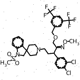 CO/N=C(\COCc1cc(C(F)(F)F)cc(C(F)(F)F)c1)C(CCN1CCC2(CC1)CN(S(C)(=O)=O)c1ccccc12)c1ccc(Cl)c(Cl)c1